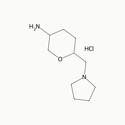 Cl.NC1CCC(CN2CCCC2)OC1